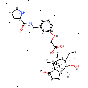 CC[C@]1(C)C[C@@H](OC(=O)COc2cccc(CNC(=O)[C@H]3CCCN3)c2)[C@]2(C)C(C)CCC3(CCC(=O)C32)[C@@H](C)[C@@H]1O